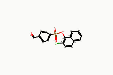 O=Cc1ccc(S(=O)(=O)Oc2c(Cl)ccc3ccccc23)cc1